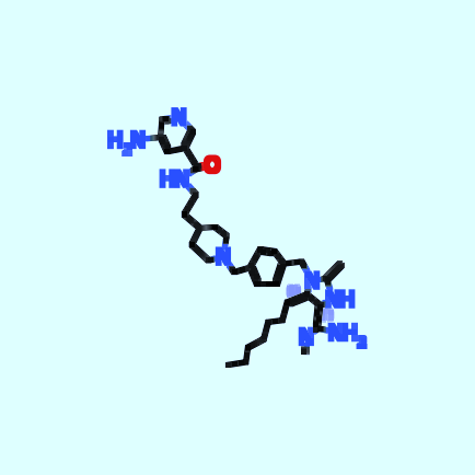 C=N/C(N)=C1/NC(=C)N(Cc2ccc(CN3CCC(CCNC(=O)c4cncc(N)c4)CC3)cc2)/C1=C/CCCCCC